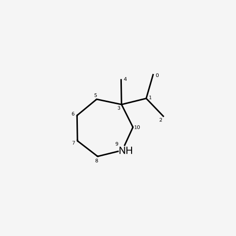 CC(C)C1(C)CCCCNC1